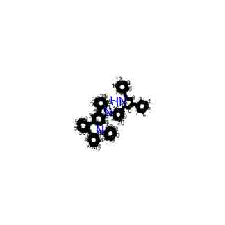 C1=C(c2ccccc2)C=C(c2ccccc2)NC1c1cccc(-n2c3ccccc3c3cc4c(cc32)N(c2ccccc2)c2ccccc2-c2ccccc2-4)c1